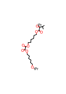 CC(C)OCCCCCCOC(=O)C(=O)OCCCCCCOC(=O)C(=O)C(C)(C)C(C)C